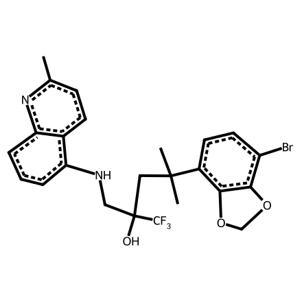 Cc1ccc2c(NCC(O)(CC(C)(C)c3ccc(Br)c4c3OCO4)C(F)(F)F)cccc2n1